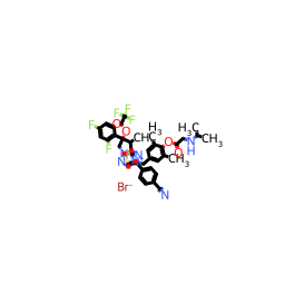 Cc1cc(C[n+]2cnn(CC(OC(=O)C(F)(F)F)(c3ccc(F)cc3F)C(C)c3nc(-c4ccc(C#N)cc4)cs3)c2)cc(C)c1OC(=O)CNC(C)C.[Br-]